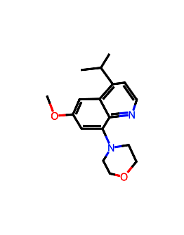 COc1cc(N2CCOCC2)c2nccc(C(C)C)c2c1